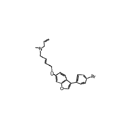 C=CCN(C)CC=CCOc1ccc2c(-c3ccc(Br)cc3)coc2c1